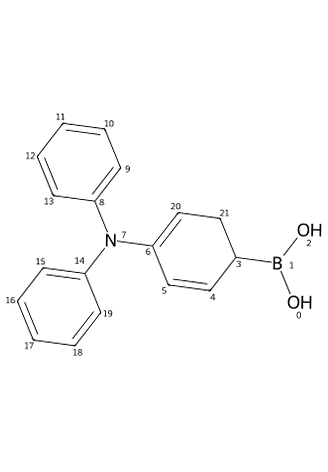 OB(O)C1C=CC(N(c2ccccc2)c2ccccc2)=CC1